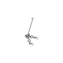 CC(C)CCCCCCCCCCCCCC[C](=O)[Ti](=[O])([O]C(=O)c1ccc(N)cc1)([O]C(=O)c1ccc(N)cc1)[CH](C)C